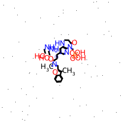 Cc1c(CN(C)C(=O)/C=C/c2cnc3c(c2)NCCC(=O)N3COP(=O)(O)O)oc2ccccc12.NCCO.NCCO